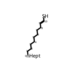 CCCCCCCCCCCCCCCC=CS